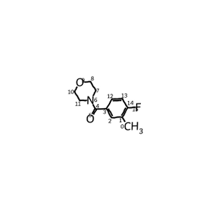 Cc1cc(C(=O)N2CCOCC2)ccc1F